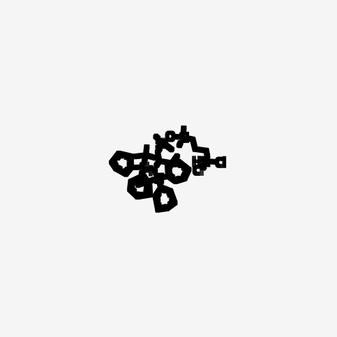 CCC(C[Si](C)(C)O[Si](C)(C)CCC[SiH](Cl)Cl)N([Si](c1ccccc1)(c1ccccc1)C(C)(C)C)[Si](c1ccccc1)(c1ccccc1)C(C)(C)C